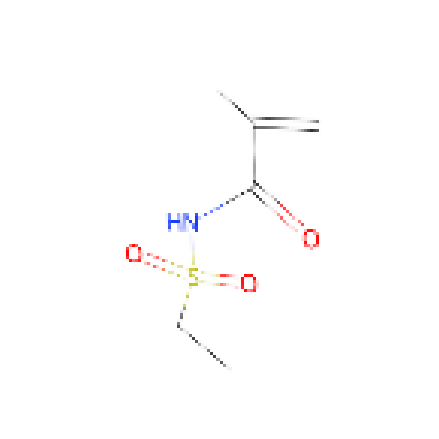 C=C(C)C(=O)NS(=O)(=O)CC